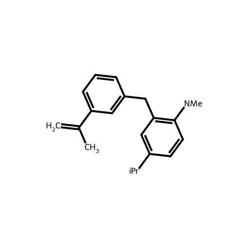 C=C(C)c1cccc(Cc2cc(C(C)C)ccc2NC)c1